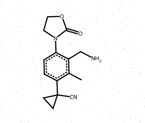 Cc1c(C2(C#N)CC2)ccc(N2CCOC2=O)c1CN